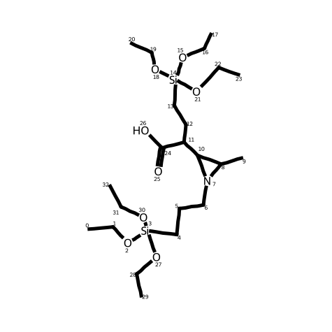 CCO[Si](CCCN1C(C)C1C(CC[Si](OCC)(OCC)OCC)C(=O)O)(OCC)OCC